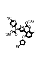 CC[C@@H]1CC[C@@H](Oc2ccc(F)c(F)c2-c2cc(N(C(=O)OC(C)(C)C)c3cnc(C#N)cn3)nn2C(=O)OC(C)(C)C)C1